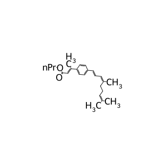 CCCOC(=O)C=C(C)c1ccc(C=CC=C(C)CCC=C(C)C)cc1